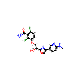 CNc1ccc(-c2coc(C(O)COc3ccc(F)c(C(N)=O)c3F)n2)cn1